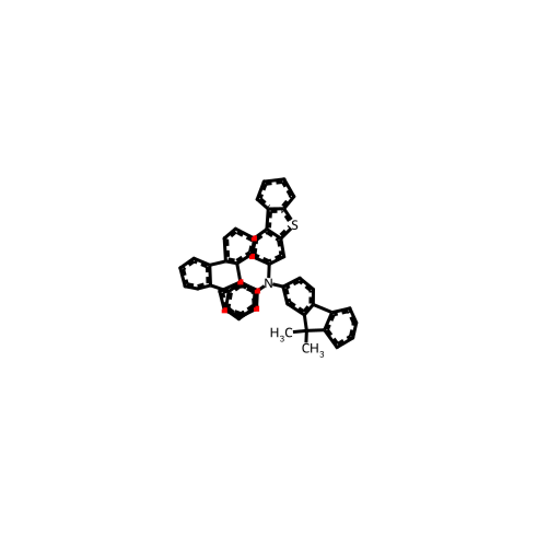 CC1(C)c2ccccc2-c2ccc(N(c3ccc4c(c3)sc3ccccc34)c3ccccc3-c3ccccc3-c3ccccc3-c3ccccc3)cc21